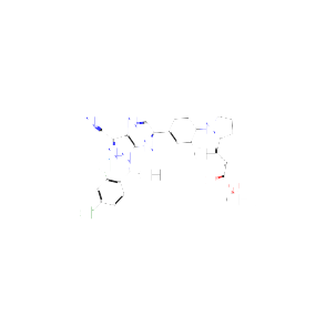 COC(=O)CCC1CCCN1C1CCC(c2cnc3c(C#N)nn([C@H](C)c4ccc(Cl)cc4Cl)c3n2)=CC1C